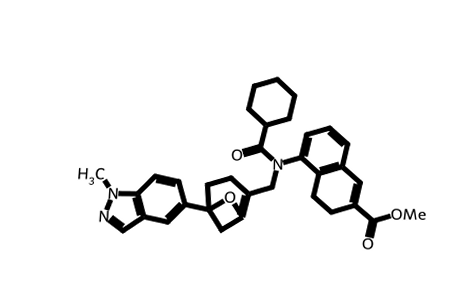 COC(=O)C1=Cc2cccc(N(CC3=C4CC(c5ccc6c(cnn6C)c5)(CC3)O4)C(=O)C3CCCCC3)c2CC1